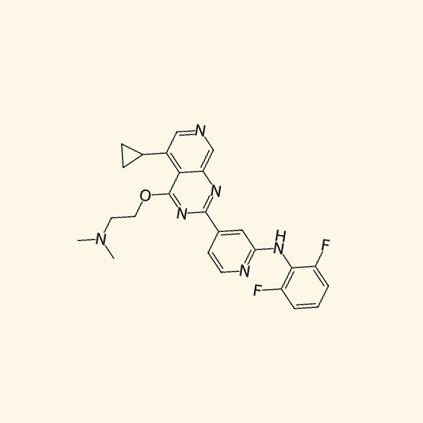 CN(C)CCOc1nc(-c2ccnc(Nc3c(F)cccc3F)c2)nc2cncc(C3CC3)c12